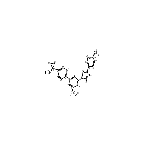 NC1(c2ccc(-c3cc(C(=O)O)cc(-n4cc(-c5ccc(C(F)(F)F)cc5)nn4)c3)cc2)CC1